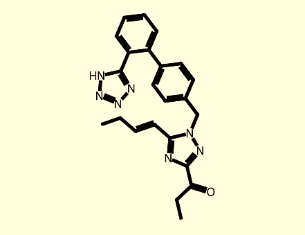 CCC=Cc1nc(C(=O)CC)nn1Cc1ccc(-c2ccccc2-c2nnn[nH]2)cc1